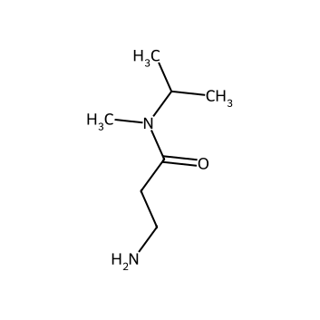 CC(C)N(C)C(=O)CCN